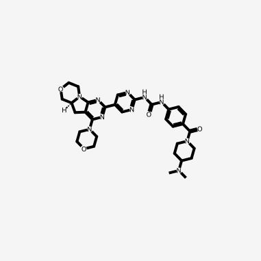 CN(C)C1CCN(C(=O)c2ccc(NC(=O)Nc3ncc(-c4nc(N5CCOCC5)c5c(n4)N4CCOC[C@@H]4C5)cn3)cc2)CC1